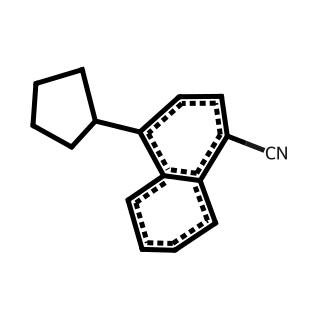 N#Cc1ccc(C2CCCC2)c2ccccc12